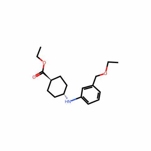 CCOCc1cccc(N[C@H]2CC[C@H](C(=O)OCC)CC2)c1